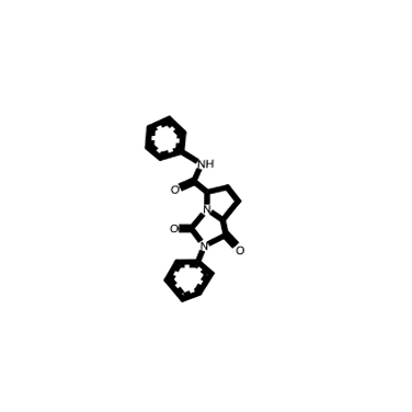 O=C(Nc1ccccc1)C1CCC2C(=O)N(c3ccccc3)C(=O)N12